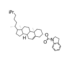 CC(C)CCC[C@@H](C)C1CCC2[C@@H]3CC=C4C[C@@H](OC(=O)N5CCc6ccccc65)CC[C@]4(C)C3CC[C@@]21C